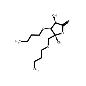 CCCCOC[C@@]1(C)OC(=O)[C@H](O)[C@@H]1OCCCC